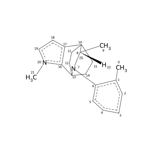 Cc1ccccc1N1[C@@H](C)C23CCC1(CC2)c1c3ccn1C